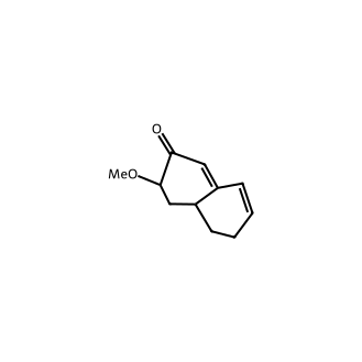 COC1CC2CCC=CC2=CC1=O